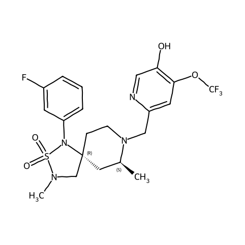 C[C@H]1C[C@]2(CCN1Cc1cc(OC(F)(F)F)c(O)cn1)CN(C)S(=O)(=O)N2c1cccc(F)c1